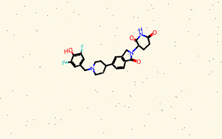 O=C1CCC(N2Cc3cc(C4CCN(Cc5cc(F)c(O)c(F)c5)CC4)ccc3C2=O)C(=O)N1